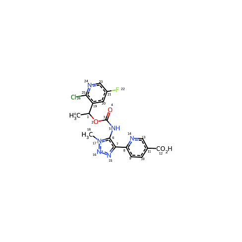 CC(OC(=O)Nc1c(-c2ccc(C(=O)O)cn2)nnn1C)c1cc(F)cnc1Cl